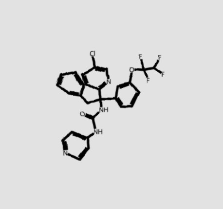 O=C(Nc1ccncc1)NC(Cc1ccccc1)(c1cccc(OC(F)(F)C(F)F)c1)c1ccc(Cl)cn1